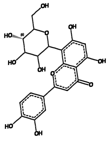 O=c1cc(-c2ccc(O)c(O)c2)oc2c(C3OC(CO)[C@@H](O)C(O)C3O)c(O)cc(O)c12